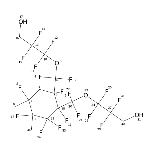 CC1(F)CC(F)(C(F)(F)OC(F)(F)C(F)(F)CO)C(F)(C(F)(F)OC(F)(F)C(F)(F)CO)C(F)(F)C1(C)F